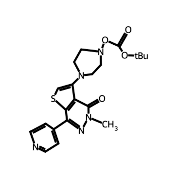 Cn1nc(-c2ccncc2)c2scc(N3CCN(OC(=O)OC(C)(C)C)CC3)c2c1=O